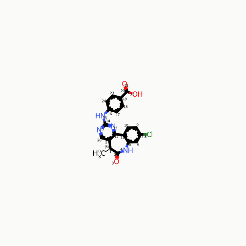 C[C@H]1C(=O)Nc2cc(Cl)ccc2-c2nc(Nc3ccc(C(=O)O)cc3)ncc21